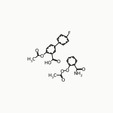 CC(=O)OOc1ccccc1C(N)=O.CC(=O)Oc1ccc(-c2ccc(F)cc2)cc1C(=O)O